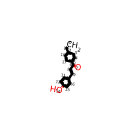 C=Cc1ccc(C(=O)C=Cc2ccc(O)cc2)cc1